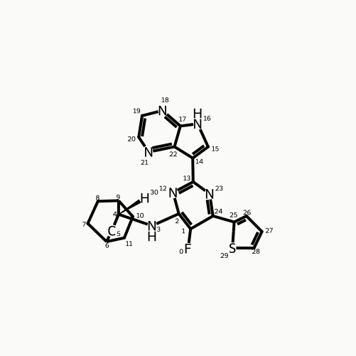 Fc1c(N[C@@H]2CC3CCC2CC3)nc(-c2c[nH]c3nccnc23)nc1-c1cccs1